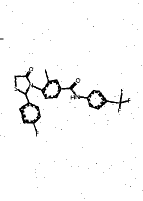 Cc1cc(C(=O)Nc2ccc(C(F)(F)F)cc2)ccc1N1C(=O)CSC1c1ccc(F)cc1